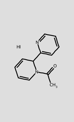 CC(=O)N1C=CC=CC1c1ccccn1.I